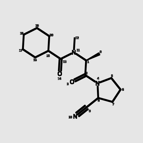 C[C@@H](C(=O)N1CCCC1C#N)N(C)C(=O)C1CCCCC1